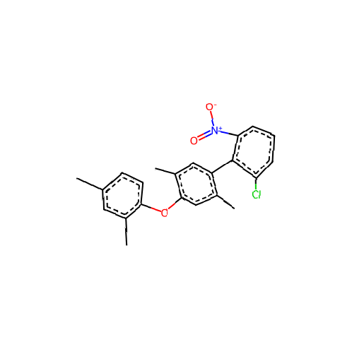 Cc1ccc(Oc2cc(C)c(-c3c(Cl)cccc3[N+](=O)[O-])cc2C)c(C)c1